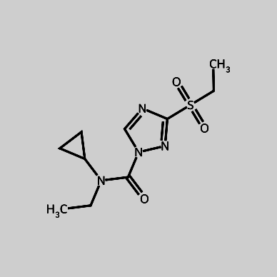 CCN(C(=O)n1cnc(S(=O)(=O)CC)n1)C1CC1